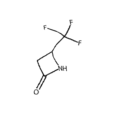 O=C1CC(C(F)(F)F)N1